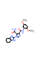 COc1ccc(OC)c(NC(=O)c2ncn(-c3nc4ccccc4[nH]3)c2C(N)=O)c1